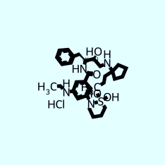 CCCC1(NC[C@H](O)[C@H](Cc2ccccc2)NC(=O)c2cc(NCC)cc(N3CCCCS3(O)O)c2)CCCC1.Cl